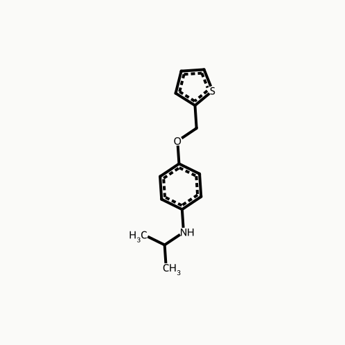 CC(C)Nc1ccc(OCc2cccs2)cc1